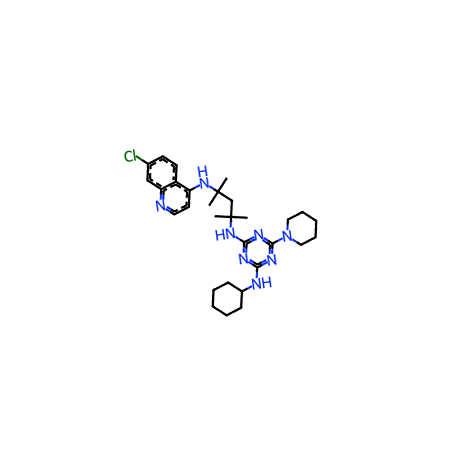 CC(C)(CC(C)(C)Nc1ccnc2cc(Cl)ccc12)Nc1nc(NC2CCCCC2)nc(N2CCCCC2)n1